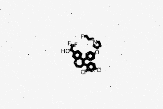 OC(c1ccc2c(c1)CCCC(c1ccc(Cl)cc1Cl)=C2c1ccc(O[C@H]2CCN(CCCF)C2)cc1)C(F)F